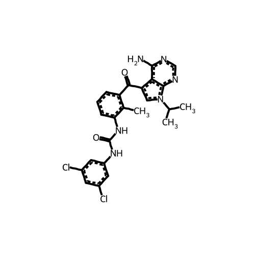 Cc1c(NC(=O)Nc2cc(Cl)cc(Cl)c2)cccc1C(=O)c1cn(C(C)C)c2ncnc(N)c12